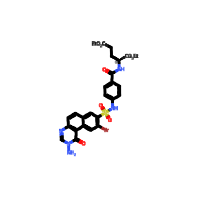 CCOC(=O)CC[C@H](NC(=O)c1ccc(NS(=O)(=O)c2cc3ccc4ncn(N)c(=O)c4c3cc2Br)cc1)C(=O)OCC